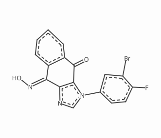 O=C1c2ccccc2C(=NO)c2ncn(-c3ccc(F)c(Br)c3)c21